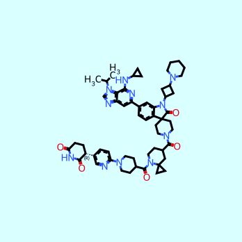 CC(C)n1cnc2cc(-c3ccc4c(c3)N(C3CC(N5CCCCC5)C3)C(=O)C43CCN(C(=O)C4CCN(C(=O)C5CCN(c6ccc([C@H]7CCC(=O)NC7=O)cn6)CC5)C5(CC5)C4)CC3)nc(NC3CC3)c21